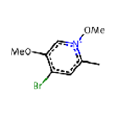 COc1c[n+](OC)c(C)cc1Br